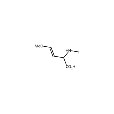 COC=CC(NI)C(=O)O